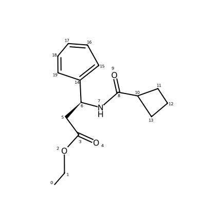 CCOC(=O)C[C@H](NC(=O)C1CCC1)c1ccccc1